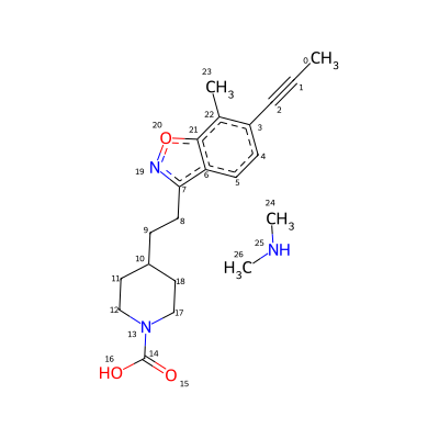 CC#Cc1ccc2c(CCC3CCN(C(=O)O)CC3)noc2c1C.CNC